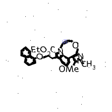 CCOC(=O)c1c(CCCOc2cccc3ccccc23)c2cccc3c2n1C/C=C\COCc1nn(C)c(COC)c1-3